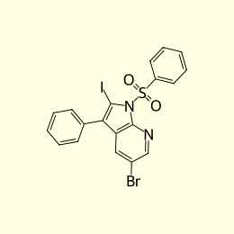 O=S(=O)(c1ccccc1)n1c(I)c(-c2ccccc2)c2cc(Br)cnc21